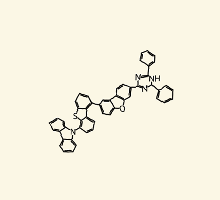 c1ccc(C2=NC(c3ccc4c(c3)oc3ccc(-c5cccc6sc7c(-n8c9ccccc9c9ccccc98)cccc7c56)cc34)=NC(c3ccccc3)N2)cc1